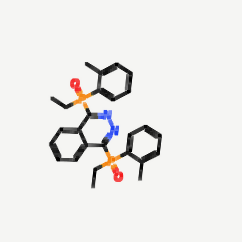 CCP(=O)(c1ccccc1C)c1nnc(P(=O)(CC)c2ccccc2C)c2ccccc12